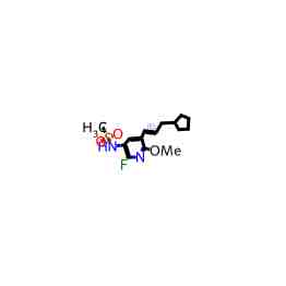 COc1nc(F)c(NS(C)(=O)=O)cc1/C=C/CC1CCCC1